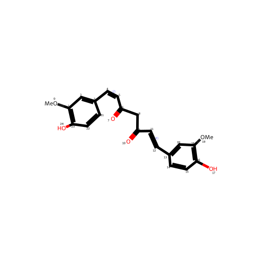 COc1cc(/C=C\C(=O)CC(=O)/C=C/c2ccc(O)c(OC)c2)ccc1O